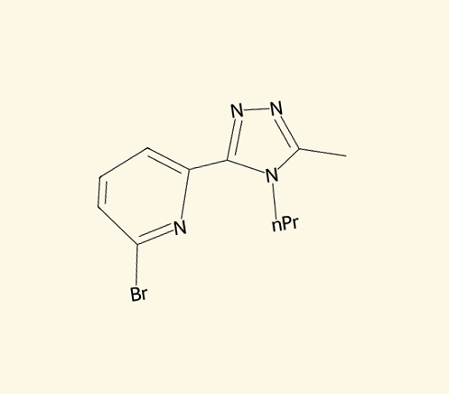 CCCn1c(C)nnc1-c1cccc(Br)n1